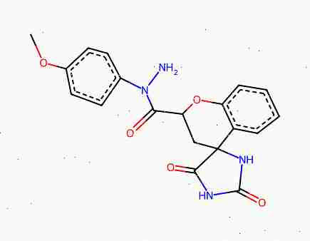 COc1ccc(N(N)C(=O)C2CC3(NC(=O)NC3=O)c3ccccc3O2)cc1